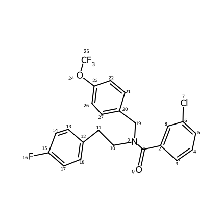 O=C(c1[c]ccc(Cl)c1)N(CCc1ccc(F)cc1)Cc1ccc(OC(F)(F)F)cc1